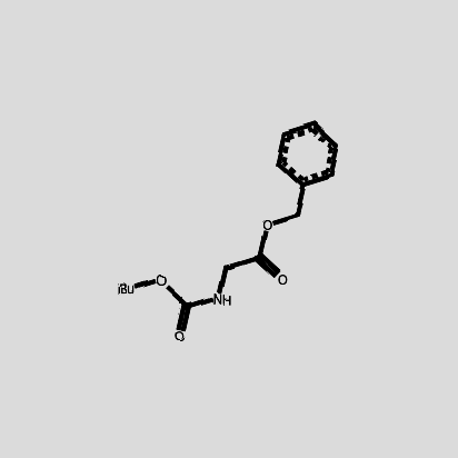 CCC(C)OC(=O)NCC(=O)OCc1ccccc1